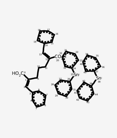 O=C(O)C(=Cc1ccccc1)CCCC(=Cc1ccccc1)C(=O)O.c1cc[c]([Sn][c]2ccccc2)cc1.c1cc[c]([Sn][c]2ccccc2)cc1